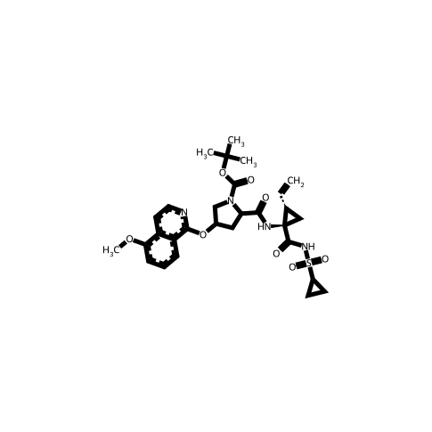 C=C[C@@H]1C[C@]1(NC(=O)C1CC(Oc2nccc3c(OC)cccc23)CN1C(=O)OC(C)(C)C)C(=O)NS(=O)(=O)C1CC1